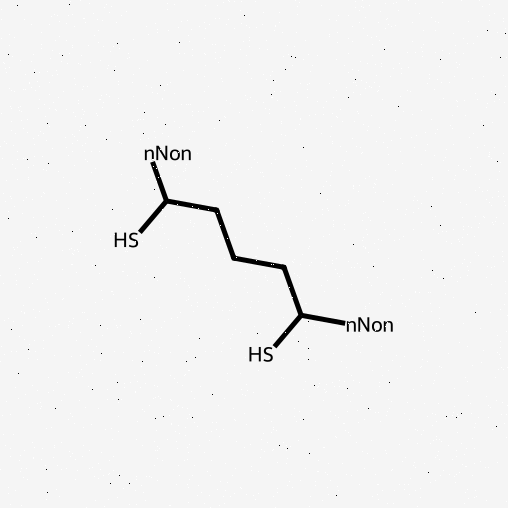 CCCCCCCCCC(S)CCCC(S)CCCCCCCCC